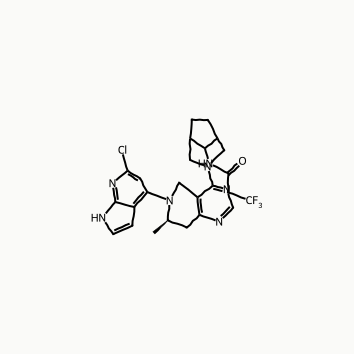 C[C@@H]1Cc2ncnc(N3CC4CCC(C3)C4NC(=O)CC(F)(F)F)c2CN1c1cc(Cl)nc2[nH]ccc12